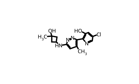 Cc1cc(NC2CC(C)(O)C2)nnc1-c1ncc(Cl)cc1O